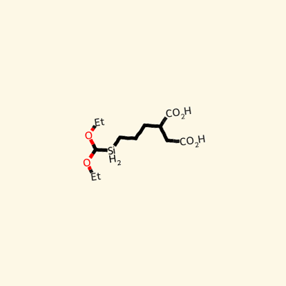 CCOC(OCC)[SiH2]CCCC(CC(=O)O)C(=O)O